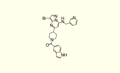 O=C(c1ccc2[nH]ccc2c1)N1CCC(c2cc(NCc3cccnc3)n3ncc(Br)c3n2)CC1